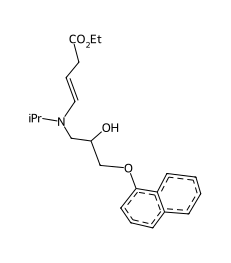 CCOC(=O)CC=CN(CC(O)COc1cccc2ccccc12)C(C)C